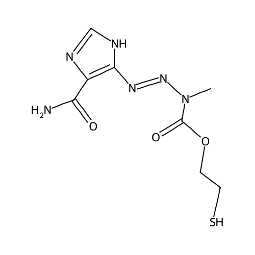 CN(/N=N/c1[nH]cnc1C(N)=O)C(=O)OCCS